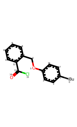 CCC(C)c1ccc(OCc2ccccc2C(=O)Cl)cc1